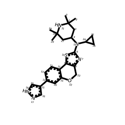 CC1(C)CC(N(c2nc3c(s2)-c2ccc(-c4cn[nH]c4)cc2OC3)C2CC2)CC(C)(C)N1